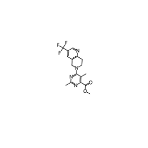 COC(=O)c1nc(C)nc(N2CCc3ncc(C(F)(F)F)cc3C2)c1C